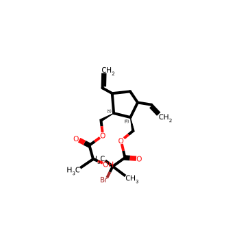 C=CC1CC(C=C)[C@H](COC(=O)C(C)O)[C@@H]1COC(=O)C(C)(C)Br